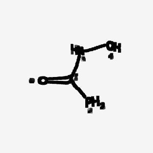 O=C(P)NO